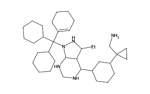 CCC1NN(C(C2=CCCCC2)(C2CCCCC2)C2CCCCC2)C2NCNC(C3CCCC(C4(CN)CC4)C3)C12